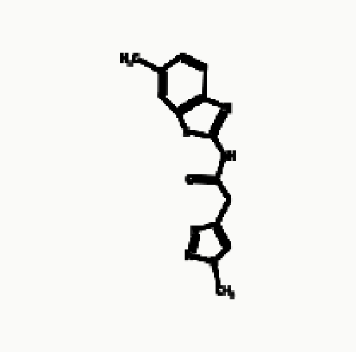 Cc1ccc2nc(NC(=O)Cc3cn(C)nn3)sc2c1